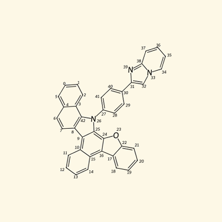 c1ccc2c(c1)ccc1c3c4ccccc4c4c5ccccc5oc4c3n(-c3ccc(-c4cn5ccccc5n4)cc3)c21